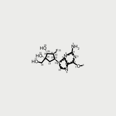 COc1nc(N)nc2c1ncn2[C@H]1C[C@@](O)(CO)[C@H](O)[C@H]1F